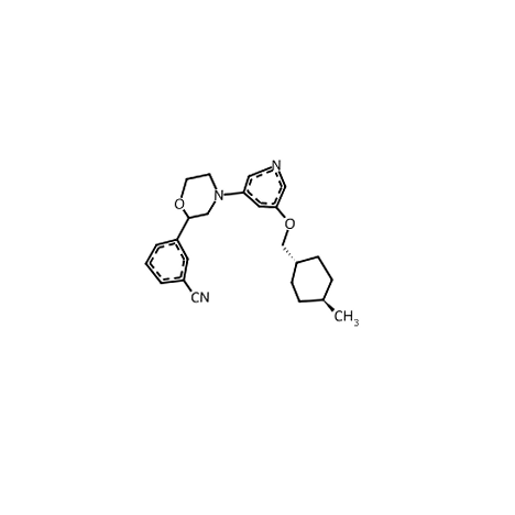 C[C@H]1CC[C@H](COc2cncc(N3CCOC(c4cccc(C#N)c4)C3)c2)CC1